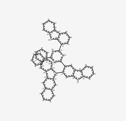 c1ccc(-c2nc(-c3cc4c(cc3-n3c5cc6ccccc6cc5c5cc6ccccc6cc53)sc3ccccc34)nc(-c3cccc4c3sc3ccccc34)n2)cc1